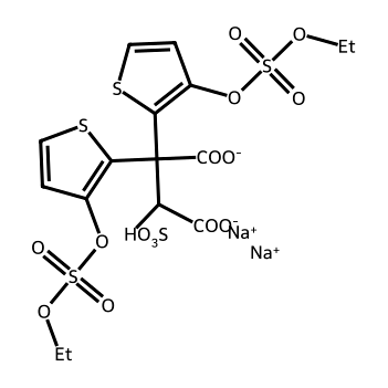 CCOS(=O)(=O)Oc1ccsc1C(C(=O)[O-])(c1sccc1OS(=O)(=O)OCC)C(C(=O)[O-])S(=O)(=O)O.[Na+].[Na+]